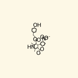 COC(=O)C1=C(C)NC(C)=C(C(=O)OCCc2ccc(O)cc2)C1c1cccc([N+](=O)[O-])c1